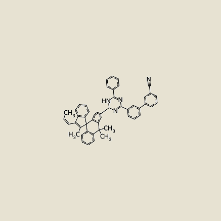 C/C=C\C1=C(C)C2(c3ccccc31)c1ccccc1C(C)(C)c1cc(C3N=C(c4cccc(-c5cccc(C#N)c5)c4)N=C(c4ccccc4)N3)ccc12